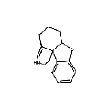 C1=C2CCCC3Oc4ccccc4C23CCN1